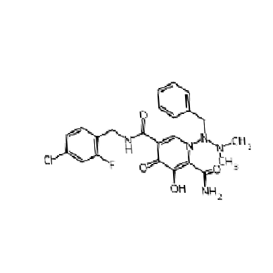 CN(C)N(Cc1ccccc1)n1cc(C(=O)NCc2ccc(Cl)cc2F)c(=O)c(O)c1C(N)=O